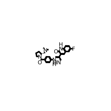 CN(C)C[C@H]1CCCN1C(=O)c1ccc(N/C=C(\C=N)c2cc3cc(F)ccc3[nH]c2=O)cc1